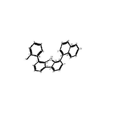 Cc1ccccc1-c1cccc2c1oc1c(-c3cccc4ccccc34)cccc12